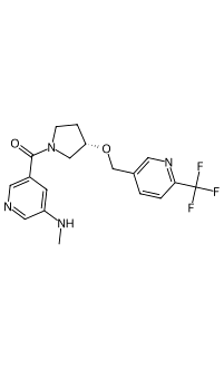 CNc1cncc(C(=O)N2CC[C@H](OCc3ccc(C(F)(F)F)nc3)C2)c1